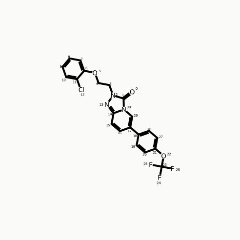 O=c1n(CCOc2ccccc2Cl)nc2ccc(-c3ccc(OC(F)(F)F)cc3)cn12